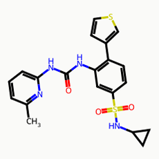 Cc1cccc(NC(=O)Nc2cc(S(=O)(=O)NC3CC3)ccc2-c2ccsc2)n1